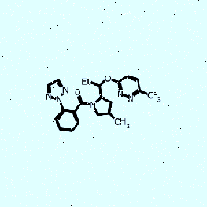 CCC(Oc1ccc(C(F)(F)F)nn1)C1CC(C)CN1C(=O)c1ccccc1-n1nccn1